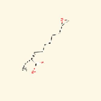 CCC(=CCCCCCC1CO1)C(=O)O